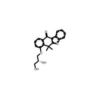 CC1(C)c2oc3ccccc3c2C(=O)c2cccc(OC[C@H](O)CO)c21